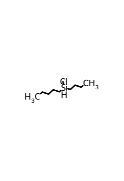 CCCCC[SiH](Cl)CCCC